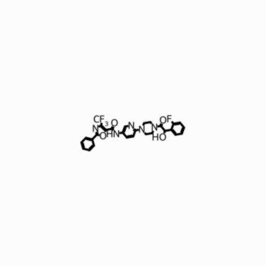 O=C(Nc1ccc(N2CCN(C(=O)C(O)c3ccccc3F)CC2)nc1)c1oc(-c2ccccc2)nc1C(F)(F)F